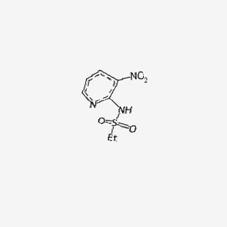 CCS(=O)(=O)Nc1ncccc1[N+](=O)[O-]